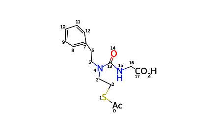 CC(=O)SCCN(CCc1ccccc1)C(=O)NCC(=O)O